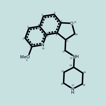 COc1ccc2ccc3c(c2n1)C(CNC1CCNCC1)CO3